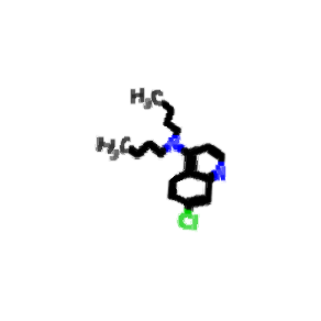 CCCCN(CCCC)c1ccnc2cc(Cl)ccc12